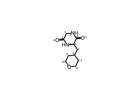 O=C1CNC(=O)C(CC2CCOCC2)N1